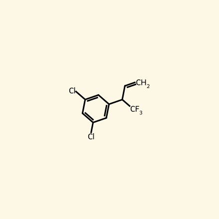 C=CC(c1cc(Cl)cc(Cl)c1)C(F)(F)F